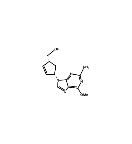 COc1nc(N)nc2c1ncn2[C@@H]1C=C[C@H](CO)C1